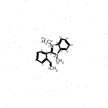 C=Cc1ccccc1-c1n(C)c2ccccc2[n+]1C.[I-]